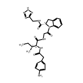 CC[C@H](C)[C@H](NC(=O)Cc1ccc(N)cc1)C(=O)NCC(=O)N1c2ccccc2C[C@H]1C(=O)NCc1nn[nH]n1